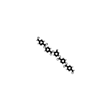 Cc1cc(OC(=O)c2ccc(OC(=O)c3ccc(C=O)cc3)cc2)ccc1OC(=O)c1ccc(OC(=O)c2ccc(C=O)cc2)cc1